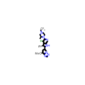 COc1cc(-c2[nH]c3cnc(N4CCN(CC(F)(F)F)CC4C)c(F)c3c2C(C)C)cn2ncnc12